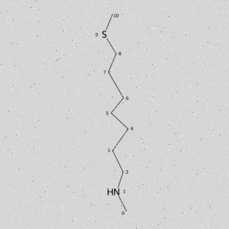 CNCCCCCCCSC